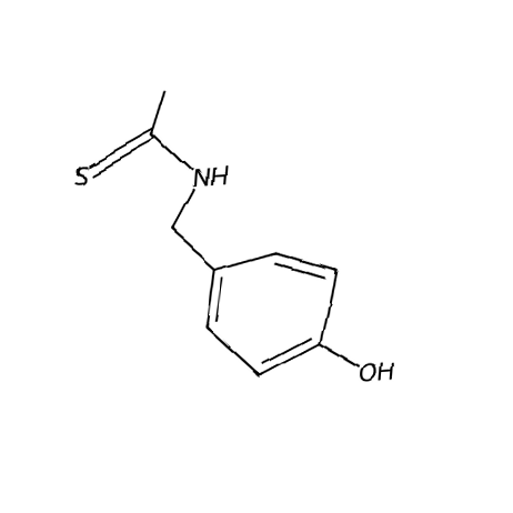 CC(=S)NCc1ccc(O)cc1